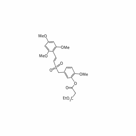 CCOC(=O)CC(=O)Oc1cc(CS(=O)(=O)C=Cc2c(OC)cc(OC)cc2OC)ccc1OC